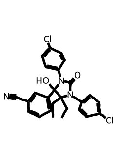 CCC1(CC)N(c2ccc(Cl)cc2)C(=O)N(c2ccc(Cl)cc2)C1(O)c1cccc(C#N)c1